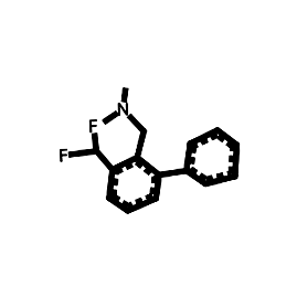 CN(C)Cc1c(-c2ccccc2)cccc1C(F)F